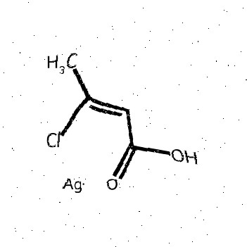 C/C(Cl)=C/C(=O)O.[Ag]